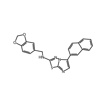 c1ccc2cc(-c3cnc4sc(NCc5ccc6c(c5)OCO6)nn34)ccc2c1